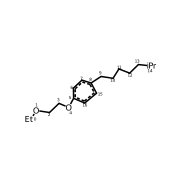 [CH2]COCCOc1ccc(CCCCCC(C)C)cc1